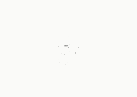 CCOC(=O)C(C(=O)O)C1CCCCC1.[LiH]